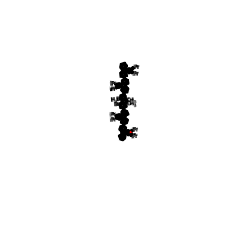 Bc1cc(-c2ccc3c(c2)C(CCC(C)C)(CCC(C)C)c2cc(-c4ccc5c(c4)C(CCC(C)C)(CCC(C)C)c4ccccc4-5)ccc2-3)cc2c1-c1c(Br)cc(-c3ccc4c(c3)C(CCC(C)C)(CCC(C)C)c3cc(-c5ccc6c(c5)C(CCC(C)C)(CCC(C)C)c5ccccc5-6)ccc3-4)cc1C2(C)C